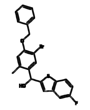 Cc1cc(OCc2ccccc2)c(Br)cc1C(O)c1cc2cc(F)ccc2s1